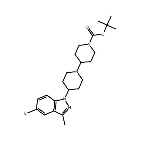 Cc1nn(C2CCN(C3CCN(C(=O)OC(C)(C)C)CC3)CC2)c2ccc(Br)cc12